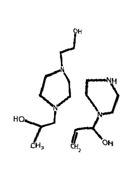 C=CC(O)N1CCNCC1.CC(O)CN1CCN(CCO)CC1